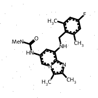 CNC(=O)Nc1cc(NCc2c(C)cc(F)cc2C)c2nc(C)c(C)n2c1